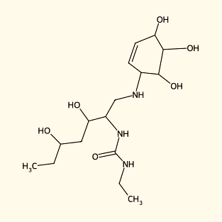 CCNC(=O)NC(CNC1C=CC(O)C(O)C1O)C(O)CC(O)CC